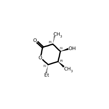 CC[C@@H]1OC(=O)[C@H](C)[C@@H](O)[C@H]1C